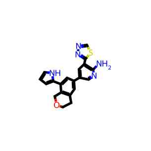 Nc1ncc(-c2cc3c(c(-c4ccc[nH]4)c2)COCC3)cc1-c1nncs1